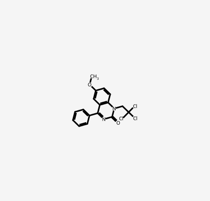 COc1ccc2c(c1)c(-c1ccccc1)nc(=O)n2CC(Cl)(Cl)Cl